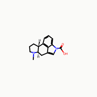 CN1CCC[C@@H]2c3cccc4c3c(cn4C(=O)O)C[C@H]21